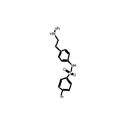 CCCNCCc1ccc(NS(=O)(=O)c2ccc(C(C)C)cc2)cc1